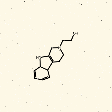 OCCN1CCC2=C(C1)NC1C=CC=CC21